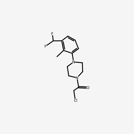 Cc1c(C(F)F)cccc1N1CCN(C(=O)CCl)CC1